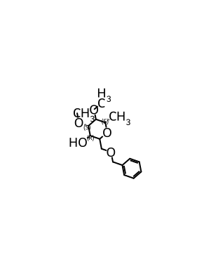 COC1[C@H](C)OC(COCc2ccccc2)[C@@H](O)[C@@H]1OC